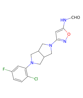 O=CNc1cc(N2CC3CN(c4cc(F)ccc4Cl)CC3C2)no1